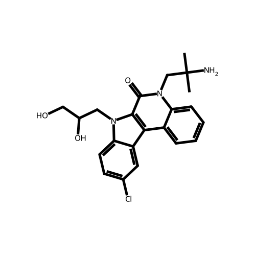 CC(C)(N)Cn1c(=O)c2c(c3ccccc31)c1cc(Cl)ccc1n2CC(O)CO